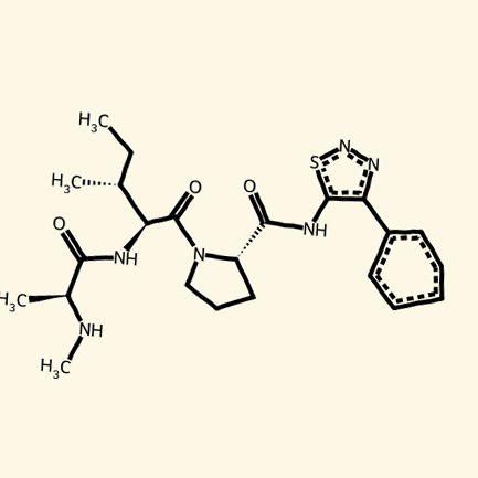 CC[C@@H](C)[C@H](NC(=O)[C@H](C)NC)C(=O)N1CCC[C@H]1C(=O)Nc1snnc1-c1ccccc1